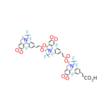 CC1Cc2cc3c(cc2C(c2c(F)cc(/C=C/C(=O)OC4c5cc6c(cc5[C@H](c5c(F)cc(/C=C/C(=O)OC[C@@H]7Cc8cc9c(cc8[C@@H](c8c(F)cc(/C=C/C(=O)O)cc8F)N7CC(C)(C)F)OCO9)cc5F)N(CC(C)(C)F)[C@H]4C)OCO6)cc2F)N1CC(C)(C)F)OCO3